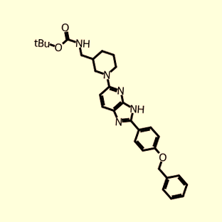 CC(C)(C)OC(=O)NCC1CCCN(c2ccc3nc(-c4ccc(OCc5ccccc5)cc4)[nH]c3n2)C1